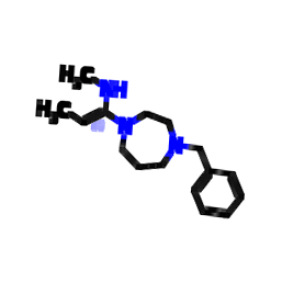 C/C=C(\NC)N1CCCN(Cc2ccccc2)CC1